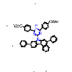 COc1ccc(C2=NC(n3c4cc(-c5ccccc5)ccc4c4c5ccccc5c(-c5ccccc5)cc43)=NC(c3ccc(OC)cc3)N2)cc1